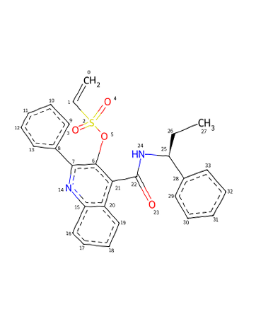 C=CS(=O)(=O)Oc1c(-c2ccccc2)nc2ccccc2c1C(=O)N[C@@H](CC)c1ccccc1